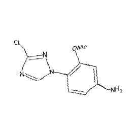 COc1cc(N)ccc1-n1cnc(Cl)n1